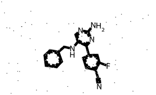 N#Cc1ccc(-c2nc(N)ncc2NCc2ccccc2)cc1F